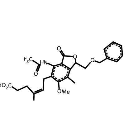 COc1c(C)c2c(c(NC(=O)C(F)(F)F)c1CC=C(C)CCC(=O)O)C(=O)OC2COCc1ccccc1